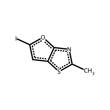 Cc1nc2oc(I)cc2s1